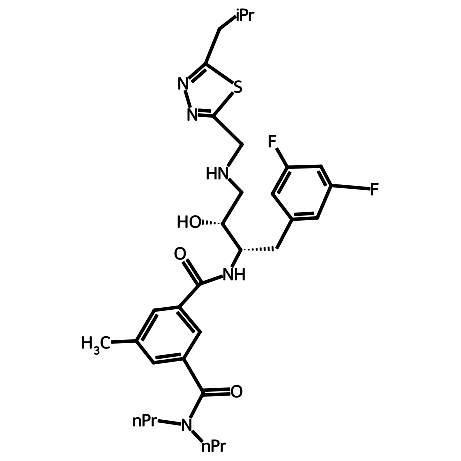 CCCN(CCC)C(=O)c1cc(C)cc(C(=O)N[C@@H](Cc2cc(F)cc(F)c2)[C@H](O)CNCc2nnc(CC(C)C)s2)c1